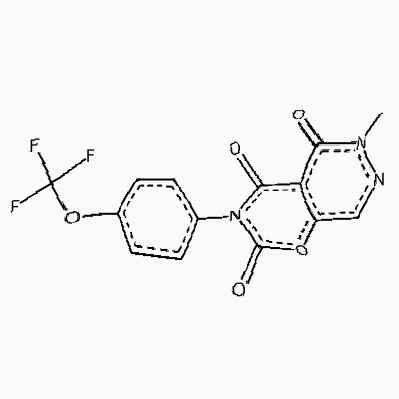 Cn1ncc2oc(=O)n(-c3ccc(OC(F)(F)F)cc3)c(=O)c2c1=O